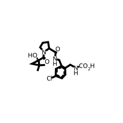 CC1(C)C[C@]1(O)C(=O)N1CCCC1C(=O)NCc1cc(Cl)ccc1CNC(=O)O